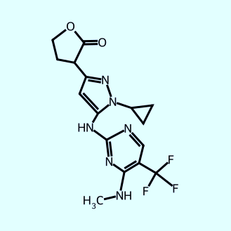 CNc1nc(Nc2cc(C3CCOC3=O)nn2C2CC2)ncc1C(F)(F)F